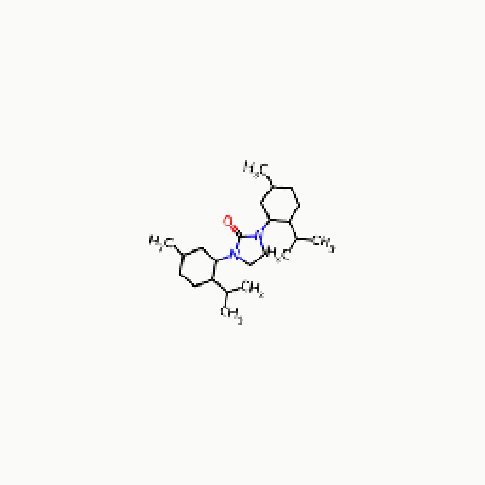 CC1CCC(C(C)C)C(N2CCN(C3CC(C)CCC3C(C)C)C2=O)C1